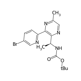 Cc1cnc([C@H](C)NC(=O)OC(C)(C)C)c(-c2ccc(Br)cn2)n1